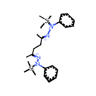 C/C(CC/C(C)=N/N(c1ccccc1)[Si](C)(C)C)=N\N(c1ccccc1)[Si](C)(C)C